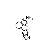 COc1nc(N)nc2c1C(c1ccc3nccn3c1)=CCCC2